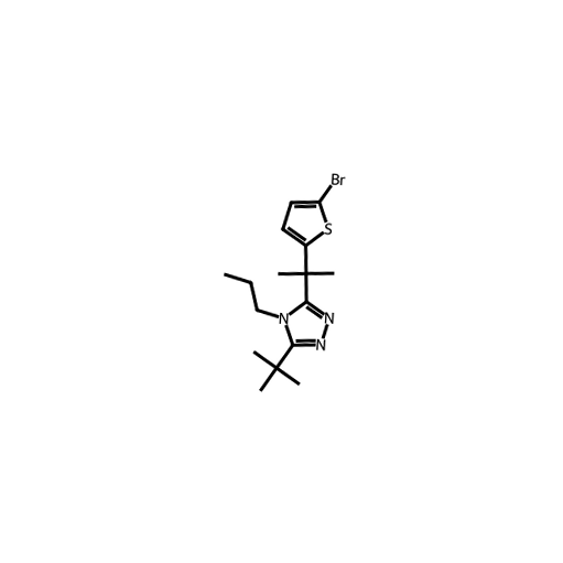 CCCn1c(C(C)(C)C)nnc1C(C)(C)c1ccc(Br)s1